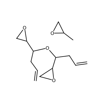 C=CCC(OC(CC=C)C1CO1)C1CO1.CC1CO1